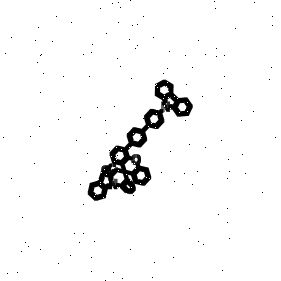 c1ccc2c(c1)Oc1c(-c3ccc(-c4ccc(-n5c6ccccc6c6ccccc65)cc4)cc3)cccc1C21c2ccccc2-n2c3ccccc3c3cccc1c32